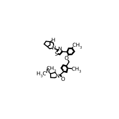 Cc1ccc(OCc2ccc(C(=O)N3CCC(N(C)C)C3)cc2C)c(-c2csc(N3CC4CC[C@@H](C4)C3)n2)c1